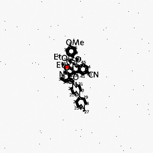 CCOc1cc(OC)ccc1S(=O)(=O)N1C(=O)C(OC(=O)N2CCN(C3CCN(C)CC3)CC2)(c2cccnc2OCC)c2cc(C#N)ccc21